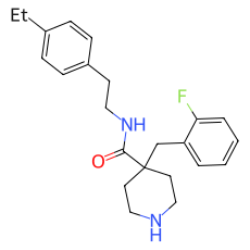 CCc1ccc(CCNC(=O)C2(Cc3ccccc3F)CCNCC2)cc1